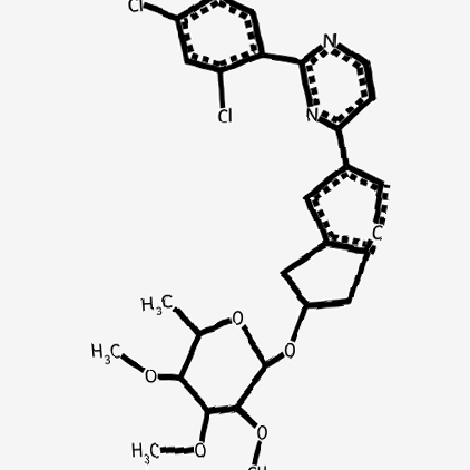 COC1C(C)OC(OC2Cc3ccc(-c4ccnc(-c5ccc(Cl)cc5Cl)n4)cc3C2)C(OC)C1OC